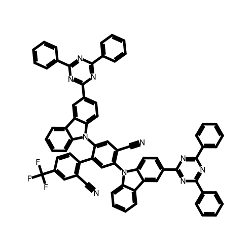 N#Cc1cc(C(F)(F)F)ccc1-c1cc(-n2c3ccccc3c3cc(-c4nc(-c5ccccc5)nc(-c5ccccc5)n4)ccc32)c(C#N)cc1-n1c2ccccc2c2cc(-c3nc(-c4ccccc4)nc(-c4ccccc4)n3)ccc21